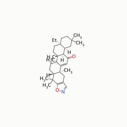 CC[C@]12CCC(C)(C)C[C@H]1[C@H]1C(=O)C=C3[C@@]4(C)Cc5cnoc5C(C)(C)[C@@H]4CC[C@@]3(C)[C@]1(C)CC2